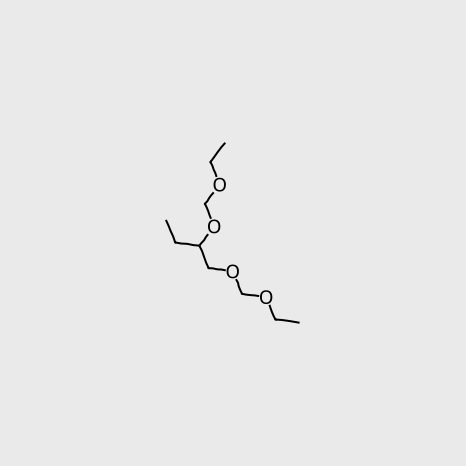 CCOCOCC(CC)OCOCC